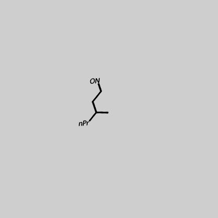 CCCC(C)CCN=O